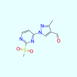 Cc1nn(-c2ccnc(S(C)(=O)=O)n2)cc1C=O